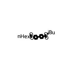 CCCCCCC(=O)Oc1ccc(-c2ccc(C(=O)OCC(C)CC)cc2)cc1